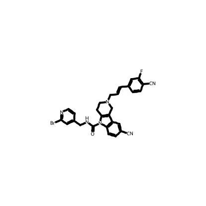 N#Cc1ccc2c(c1)c1c(n2C(=O)NCc2ccnc(Br)c2)CCN(C/C=C/c2ccc(C#N)c(F)c2)C1